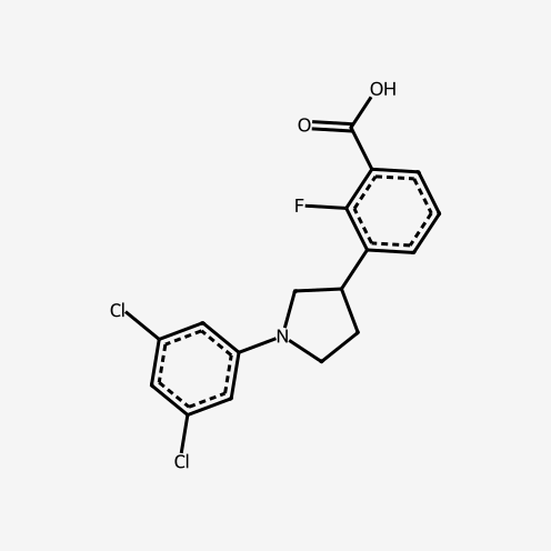 O=C(O)c1cccc(C2CCN(c3cc(Cl)cc(Cl)c3)C2)c1F